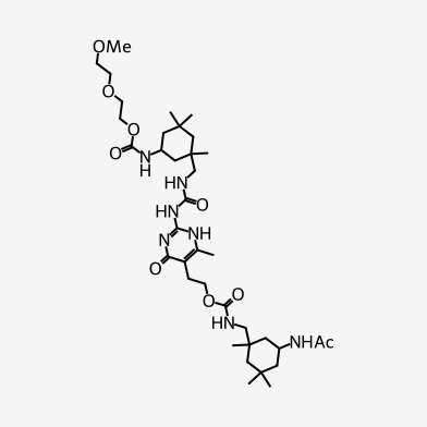 COCCOCCOC(=O)NC1CC(C)(C)CC(C)(CNC(=O)Nc2nc(=O)c(CCOC(=O)NCC3(C)CC(NC(C)=O)CC(C)(C)C3)c(C)[nH]2)C1